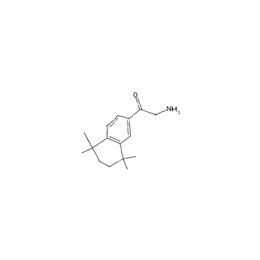 CC1(C)CCC(C)(C)c2cc(C(=O)CN)ccc21